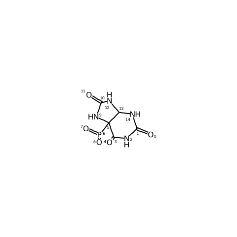 O=C1NC(=O)C2(P(=O)=O)NC(=O)NC2N1